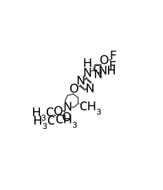 C[C@H]1C[C@@H](Oc2cncc(Nc3cc(OC(F)F)[nH]n3)n2)CCN(C(=O)OC(C)(C)C)C1